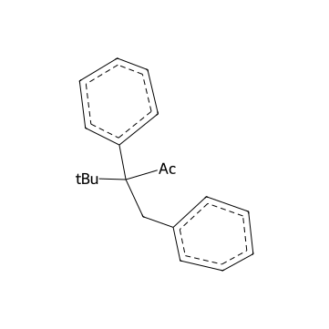 CC(=O)C(Cc1ccccc1)(c1ccccc1)C(C)(C)C